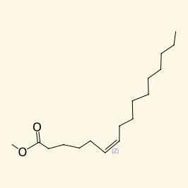 CCCCCCCCC/C=C\CCCCC(=O)OC